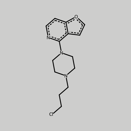 ClCCCN1CCN(c2nccc3occc23)CC1